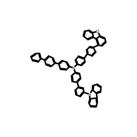 c1ccc(-c2ccc(-c3ccc(N(c4ccc(-c5ccc(-c6cccc7oc8ccccc8c67)cc5)cc4)c4ccc(-c5cccc(-n6c7ccccc7c7ccccc76)c5)cc4)cc3)cc2)cc1